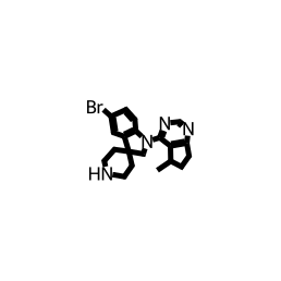 CC1CCc2ncnc(N3CC4(CCNCC4)c4cc(Br)ccc43)c21